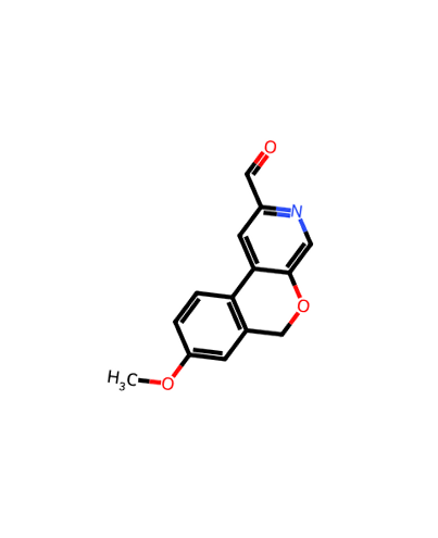 COc1ccc2c(c1)COc1cnc(C=O)cc1-2